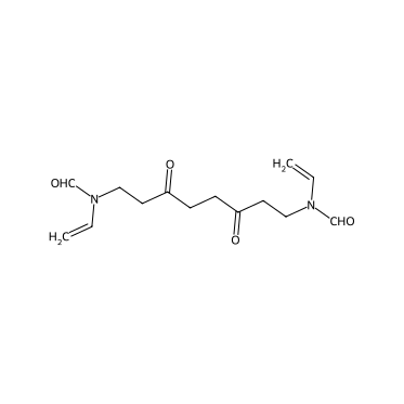 C=CN(C=O)CCC(=O)CCC(=O)CCN(C=C)C=O